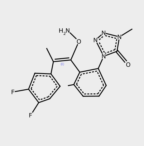 C/C(=C(\ON)c1c(C)cccc1-n1nnn(C)c1=O)c1ccc(F)c(F)c1